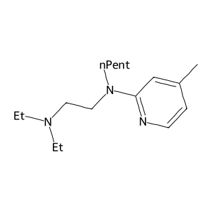 CCCCCN(CCN(CC)CC)c1cc(C)ccn1